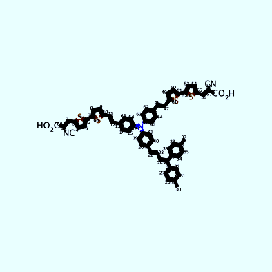 [C-]#[N+]/C(=C\c1ccc(-c2ccc(/C=C/c3ccc(N(c4ccc(/C=C/C=C(c5ccc(C)cc5)c5ccc(C)cc5)cc4)c4ccc(/C=C/c5ccc(-c6ccc(/C=C(\C#N)C(=O)O)s6)s5)cc4)cc3)s2)s1)C(=O)O